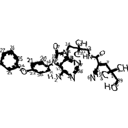 CC(C)(C=C(C#N)C(=O)NCC(C)(C)Cn1c(=O)n(-c2ccc(Oc3ccccc3)cc2)c2c(N)ncnc21)CO